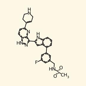 CS(=O)(=O)NCc1cc(F)cc(-c2cccc3[nH]c(-c4n[nH]c5ccc(C6=CCNCC6)nc45)cc23)c1